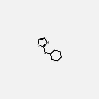 c1csc(SC2CCCCC2)n1